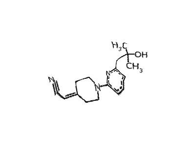 CC(C)(O)Cc1cccc(N2CCC(=CC#N)CC2)n1